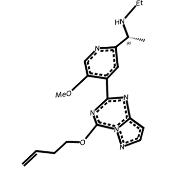 C=CCCOc1nc(-c2cc([C@@H](C)NCC)ncc2OC)nc2ccnn12